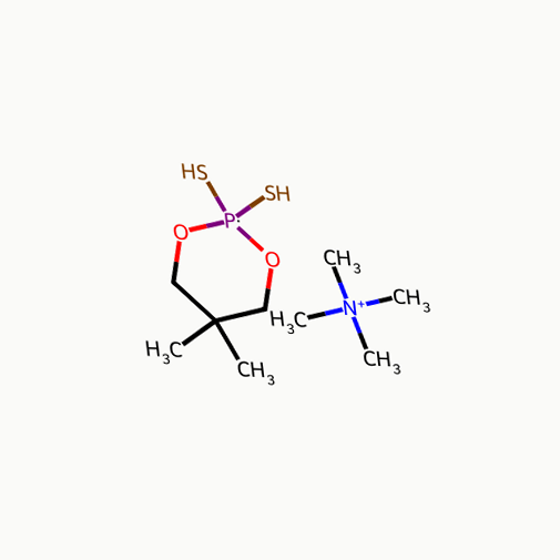 CC1(C)CO[P](S)(S)OC1.C[N+](C)(C)C